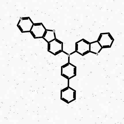 c1ccc(-c2ccc(N(c3ccc4c(c3)oc3cc5cnccc5cc34)c3ccc4c(c3)sc3ccccc34)cc2)cc1